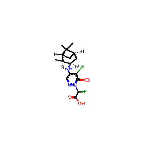 C[C@H]1[C@H]2C[C@H](C[C@H]1Nc1cnn(C(F)C(=O)O)c(=O)c1Br)C2(C)C